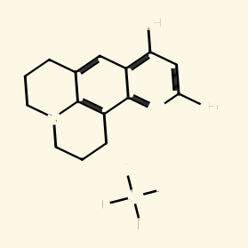 Cc1cc(C(C)(C)C)[o+]c2c3c4c(cc12)CCCN4CCC3.F[B-](F)(F)F